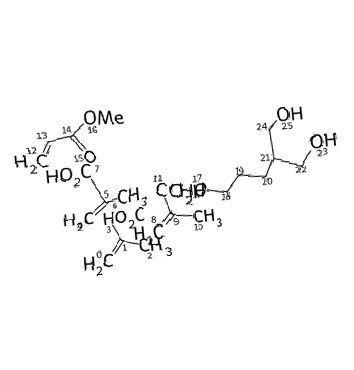 C=C(C)C(=O)O.C=C(C)C(=O)O.C=C(C)C(=O)O.C=CC(=O)OC.OCCCC(CO)CO